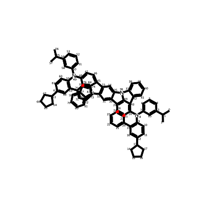 CC(C)c1cccc(N(c2ccc(C3CCCC3)cc2-c2ccccc2)c2ccc3c4cc5c(cc4n4c6ccccc6c2c34)c2ccc(N(c3cccc(C(C)C)c3)c3ccc(C4CCCC4)cc3-c3ccccc3)c3c4ccccc4n5c23)c1